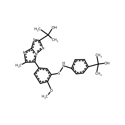 COc1ccc(-c2c(C)nc3sc(C(C)(C)O)nn23)cc1SNc1ccc(C(C)(C)O)cc1